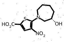 O=C(O)c1cc([N+](=O)[O-])c(N2CCCC[C@H](O)C2)s1